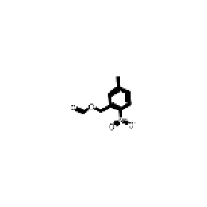 Cc1ccc([N+](=O)[O-])c(COC=O)c1